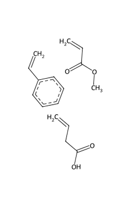 C=CC(=O)OC.C=CCC(=O)O.C=Cc1ccccc1